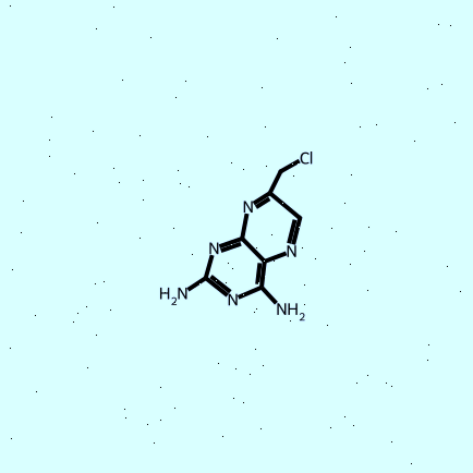 Nc1nc(N)c2ncc(CCl)nc2n1